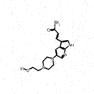 CCOCCN1CCN(c2cnc3[nH]cc(C=CC(N)=O)c3c2)CC1